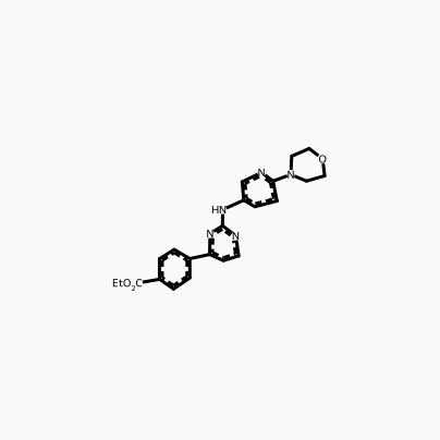 CCOC(=O)c1ccc(-c2ccnc(Nc3ccc(N4CCOCC4)nc3)n2)cc1